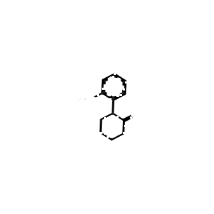 COc1ccccc1C1CCCCC1=O